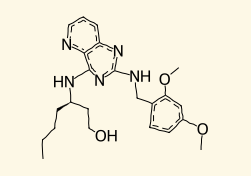 CCCC[C@H](CCO)Nc1nc(NCc2ccc(OC)cc2OC)nc2cccnc12